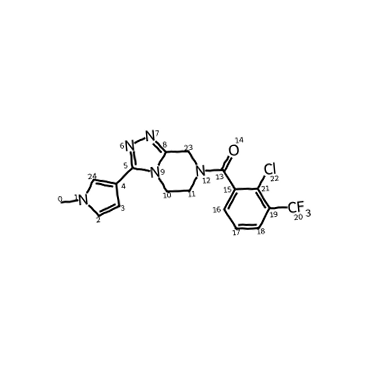 Cn1ccc(-c2nnc3n2CCN(C(=O)c2cccc(C(F)(F)F)c2Cl)C3)c1